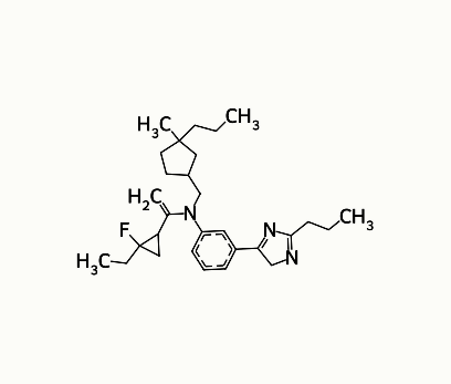 C=C(C1CC1(F)CC)N(CC1CCC(C)(CCC)C1)c1cccc(C2=NC(CCC)=NC2)c1